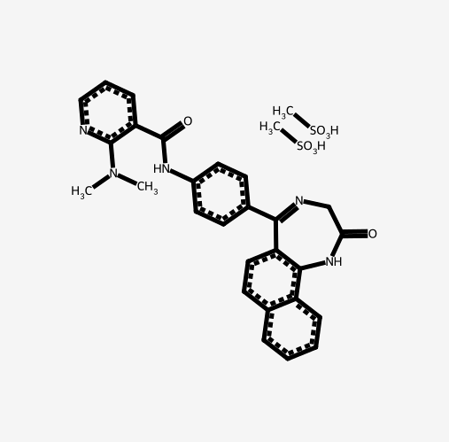 CN(C)c1ncccc1C(=O)Nc1ccc(C2=NCC(=O)Nc3c2ccc2ccccc32)cc1.CS(=O)(=O)O.CS(=O)(=O)O